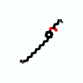 CCCCCCCCCCCCc1ccc(OC(=O)CCC)cc1